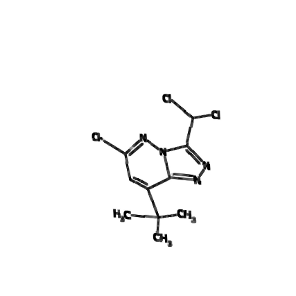 CC(C)(C)c1cc(Cl)nn2c(C(Cl)Cl)nnc12